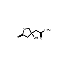 COC(=O)CC1(O)COC(=O)C1